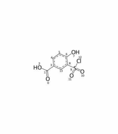 O=C(O)c1ccc(O)c(S(=O)(=O)Cl)c1